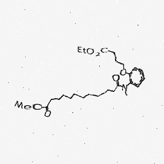 CCOC(=O)CCCOc1ccccc1N(C)C(=O)CCCCCCCCCCC(=O)OC